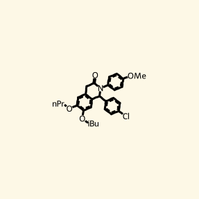 CCCOc1cc2c(cc1OC(C)CC)C(c1ccc(Cl)cc1)N(c1ccc(OC)cc1)C(=O)C2